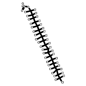 O=[SH](=O)OC(Cl)(Cl)C(Cl)(Cl)C(Cl)(Cl)C(Cl)(Cl)C(Cl)(Cl)C(Cl)(Cl)C(Cl)(Cl)C(Cl)(Cl)C(Cl)(Cl)C(Cl)(Cl)C(Cl)(Cl)C(Cl)(Cl)C(Cl)(Cl)C(Cl)(Cl)C(Cl)(Cl)C(Cl)(Cl)C(Cl)(Cl)C(Cl)(Cl)C(Cl)(Cl)Cl